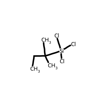 CCC(C)(C)[Si](Cl)(Cl)Cl